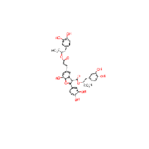 O=C(/C=C/c1cc(O)c2oc(-c3ccc(O)c(O)c3)c(C(=O)O[C@H](Cc3ccc(O)c(O)c3)C(=O)O)c2c1)O[C@H](Cc1ccc(O)c(O)c1)C(=O)O